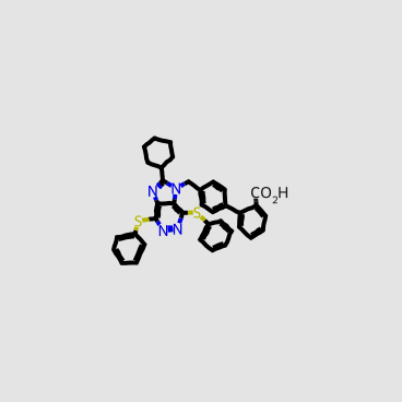 O=C(O)c1ccccc1-c1ccc(Cn2c(C3CCCCC3)nc3c(Sc4ccccc4)nnc(Sc4ccccc4)c32)cc1